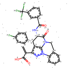 C=C(C(=O)O)c1nn(-c2ccccc2)c2c1[C@H](c1ccc(F)cc1)[C@H](NC(=O)c1cccc(C(F)(F)F)c1)C(=O)N2CC